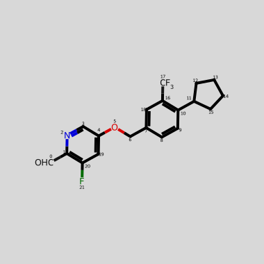 O=Cc1ncc(OCc2ccc(C3CCCC3)c(C(F)(F)F)c2)cc1F